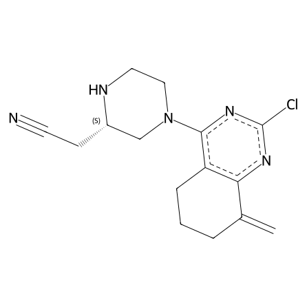 C=C1CCCc2c1nc(Cl)nc2N1CCN[C@@H](CC#N)C1